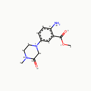 COC(=O)c1cc(N2CCN(C)C(=O)C2)ccc1N